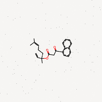 C=CC(C)(CCC=C(C)C)OC(=O)CC(=O)c1cccc2ccccc12